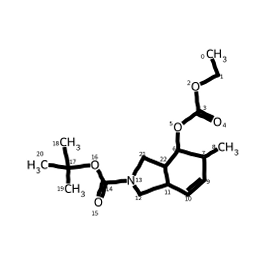 CCOC(=O)OC1C(C)C=CC2CN(C(=O)OC(C)(C)C)CC21